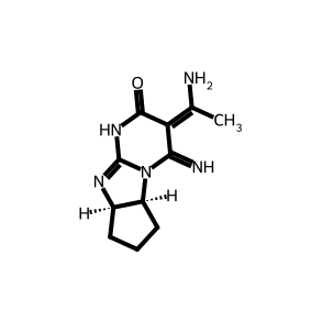 C/C(N)=c1/c(=O)[nH]c2n(c1=N)[C@H]1CCC[C@H]1N=2